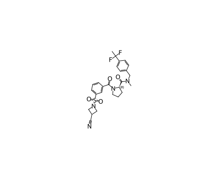 CN(Cc1ccc(C(C)(F)F)cc1)C(=O)[C@H]1CCCN1C(=O)c1cccc(S(=O)(=O)N2CC(C#N)C2)c1